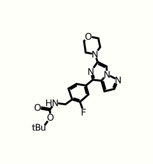 CC(C)(C)OC(=O)NCc1ccc(-c2nc(N3CCOCC3)cn3nccc23)cc1F